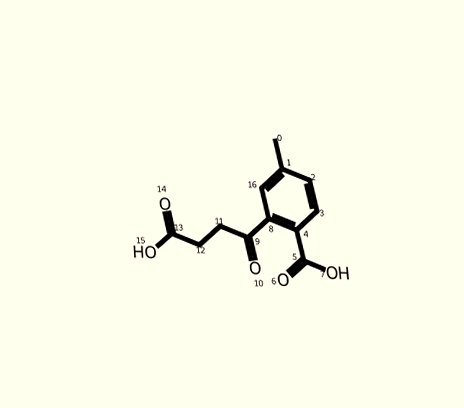 Cc1ccc(C(=O)O)c(C(=O)CCC(=O)O)c1